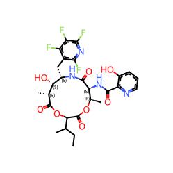 CCC(C)C1OC(=O)[C@H](C)[C@H](O)[C@H](Cc2c(F)nc(F)c(F)c2F)NC(=O)[C@@H](NC(=O)c2ncccc2O)[C@@H](C)OC1=O